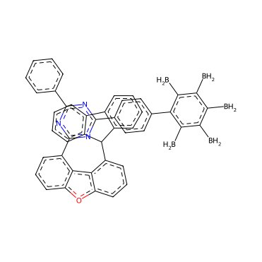 Bc1c(B)c(B)c(-c2ccc(-c3nc(-c4ccccc4)nc(-c4cccc5oc6cccc(C7c8ccccc8-c8ccccc87)c6c45)n3)cc2)c(B)c1B